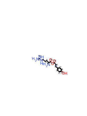 N=C(N)NCCC[C@H](N)C(=O)OC(=O)/C=C/c1ccc(O)cc1